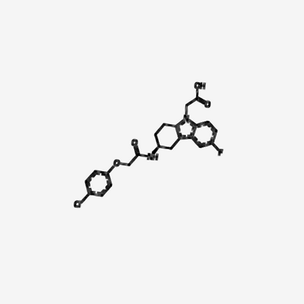 O=C(O)Cn1c2c(c3cc(F)ccc31)C[C@@H](NC(=O)COc1ccc(Cl)cc1)CC2